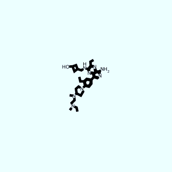 CCc1cc(-c2cnc(N)c3nc(CC)c(NCC4CC(O)C4)nc23)ccc1N1CCC(N(C)CCN(C)CC)CC1